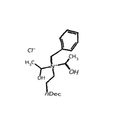 CCCCCCCCCCCC[N+](Cc1ccccc1)(C(C)O)C(C)O.[Cl-]